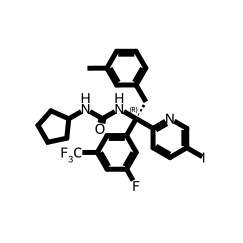 Cc1cccc(C[C@@](NC(=O)NC2CCCC2)(c2cc(F)cc(C(F)(F)F)c2)c2ccc(I)cn2)c1